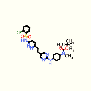 CN(C(=O)OC(C)(C)C)C1CCC(Nc2ncc(CCc3ccc(NS(=O)(=O)c4ccccc4Cl)nn3)cn2)CC1